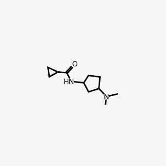 CN(C)C1CCC(NC(=O)C2CC2)C1